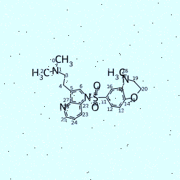 CN(C)CCc1cn(S(=O)(=O)c2ccc3c(c2)N(C)CCO3)c2cccnc12